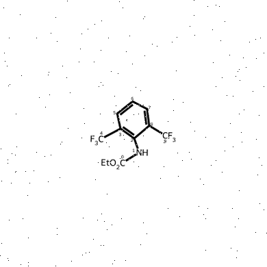 [CH2]COC(=O)Nc1c(C(F)(F)F)cccc1C(F)(F)F